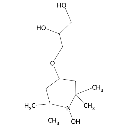 CC1(C)CC(OCC(O)CO)CC(C)(C)N1O